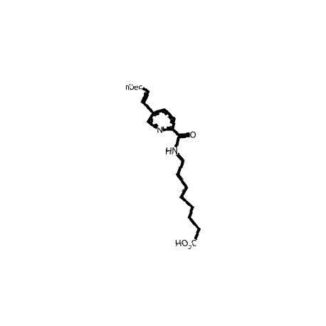 CCCCCCCCCCC=Cc1ccc(C(=O)NCCCCCCCC(=O)O)nc1